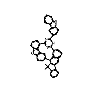 CC1(C)c2ccccc2-c2cccc(-c3ccc4oc5cccc(-c6nc(-c7ccccc7)nc(-c7ccc8sc9ccccc9c8c7)n6)c5c4c3)c21